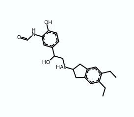 CCc1cc2c(cc1CC)CC([AsH]CC(O)c1ccc(O)c(NC=O)c1)C2